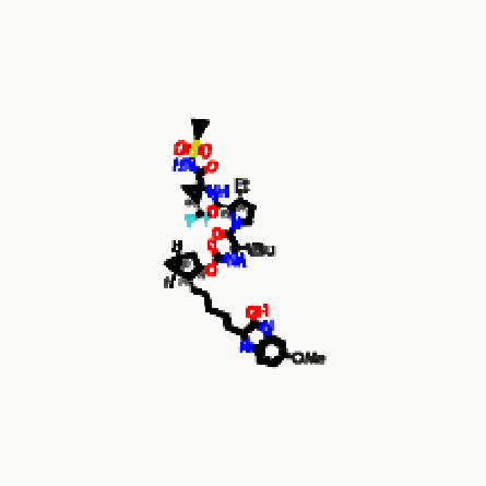 CC[C@@H]1CCN(C(=O)[C@@H](NC(=O)O[C@@H]2C[C@@H]3C[C@@H]3[C@H]2CCCCCc2nc3ccc(OC)cc3nc2O)C(C)(C)C)[C@@H]1C(=O)N[C@]1(C(=O)NS(=O)(=O)C2CC2)C[C@H]1C(F)F